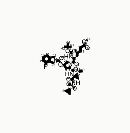 C=C[C@@H]1C[C@]1(NC(=O)[C@@H]1C[C@@H](OC(=O)N2Cc3cccc(F)c3C2)CN1C(=O)[C@H](CC/C=C/C(=O)OC)NC(=O)OC(C)(C)C)C(=O)NS(=O)(=O)C1CC1